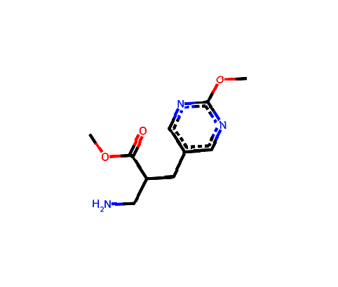 COC(=O)C(CN)Cc1cnc(OC)nc1